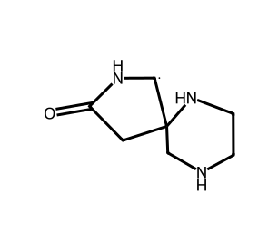 O=C1CC2([CH]N1)CNCCN2